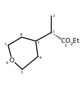 CCOC(=O)[C@@H](C)C1CCOCC1